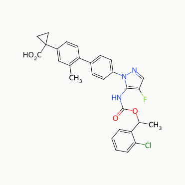 Cc1cc(C2(C(=O)O)CC2)ccc1-c1ccc(-n2ncc(F)c2NC(=O)OC(C)c2ccccc2Cl)cc1